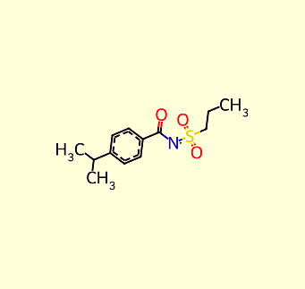 CCCS(=O)(=O)[N]C(=O)c1ccc(C(C)C)cc1